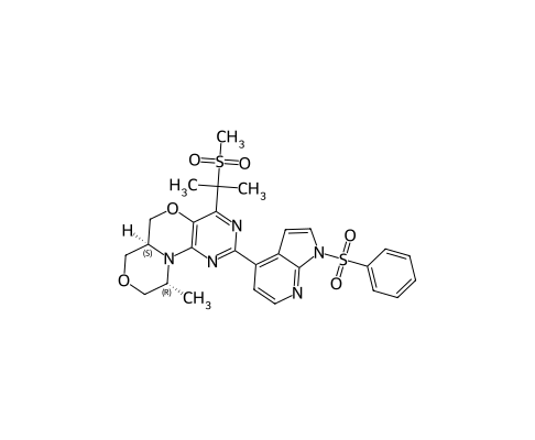 C[C@@H]1COC[C@H]2COc3c(nc(-c4ccnc5c4ccn5S(=O)(=O)c4ccccc4)nc3C(C)(C)S(C)(=O)=O)N21